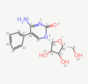 Nc1nc(=O)n([C@@H]2O[C@H](CO)C(O)C2O)cc1-c1ccccc1